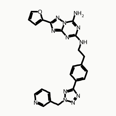 Nc1nc(NCCc2ccc(-c3nnn(Cc4cccnc4)n3)cc2)nc2nc(-c3ccco3)nn12